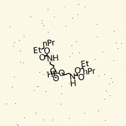 CCCC(CC)OC(=O)NCCO[PH](=O)OCCNC(=O)OC(CC)CCC